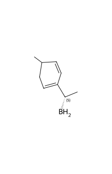 B[C@@H](C)C1=CCC(C)C=C1